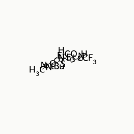 CCC(CC)(C(=O)O)C(Cc1ccc(-c2ccc(C(F)(F)F)nc2)cc1)c1[nH]c2ccc(OCc3cnc(C)cn3)cc2c1SC(C)(C)C